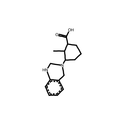 CC1C(C(=O)O)CCCC1N1CNc2ccccc2C1